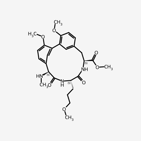 CN[C@@H]1C(=O)N[C@@H](CCCOC)C(=O)N[C@H](C(=O)OC)Cc2ccc(OC)c(c2)-c2cc1ccc2OC